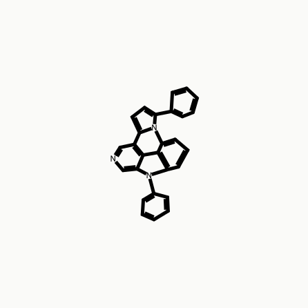 c1ccc(-c2ccc3c4cncc5c4c4c(cccc4n23)n5-c2ccccc2)cc1